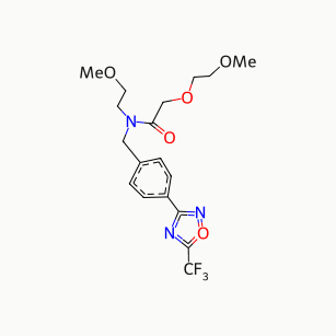 COCCOCC(=O)N(CCOC)Cc1ccc(-c2noc(C(F)(F)F)n2)cc1